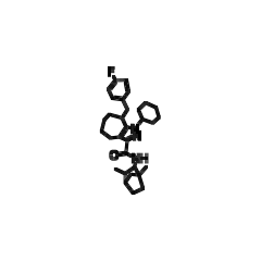 CC1C2CCC(C)(C2)[C@@H]1NC(=O)c1nn(C2CCCCC2)c2c1CCCCC2Cc1ccc(F)cc1